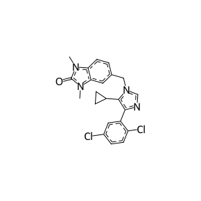 Cn1c(=O)n(C)c2cc(Cn3cnc(-c4cc(Cl)ccc4Cl)c3C3CC3)ccc21